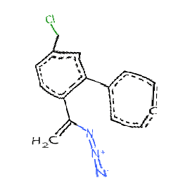 C=C(N=[N+]=[N-])c1ccc(Cl)cc1-c1ccccc1